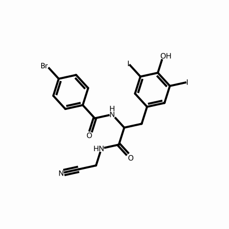 N#CCNC(=O)C(Cc1cc(I)c(O)c(I)c1)NC(=O)c1ccc(Br)cc1